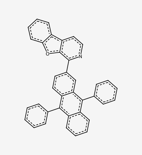 c1ccc(-c2c3ccccc3c(-c3ccccc3)c3cc(-c4nccc5c4oc4ccccc45)ccc23)cc1